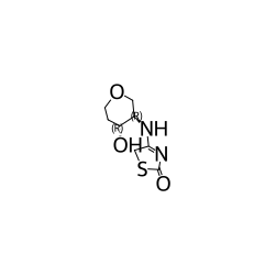 O=C1N=C(N[C@@H]2COCC[C@H]2O)CS1